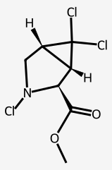 COC(=O)[C@@H]1[C@@H]2[C@H](CN1Cl)C2(Cl)Cl